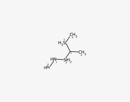 CCCN[SiH2]C(C)[SiH2]C